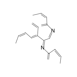 C=CC(=C\C=C/C)/C(/C=N\C(=C)/C=C\C)=N/C(=C)/C=C\C